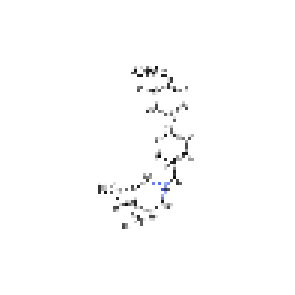 COCc1cccc(-c2ccc(CN3CCC(CC#N)(C(C)C)CC3)cc2)c1